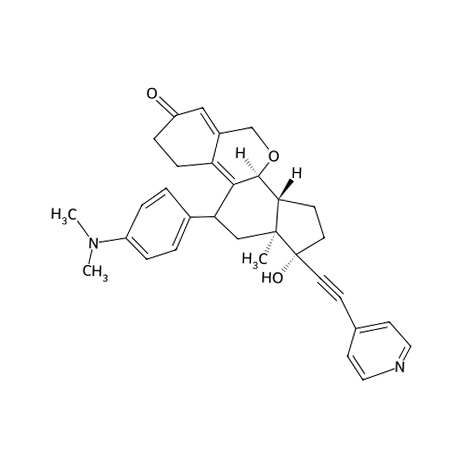 CN(C)c1ccc(C2C[C@@]3(C)[C@@H](CC[C@@]3(O)C#Cc3ccncc3)[C@@H]3OCC4=CC(=O)CCC4=C23)cc1